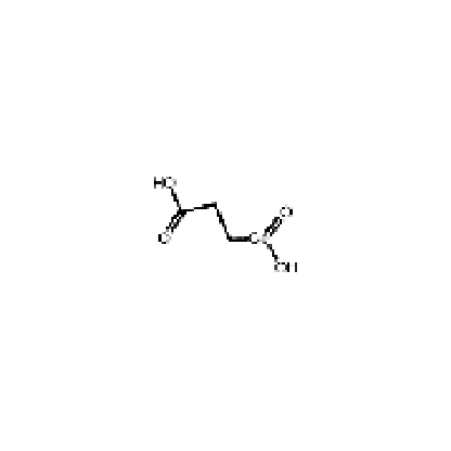 O=C(O)C[CH2][Ge](=[O])[OH]